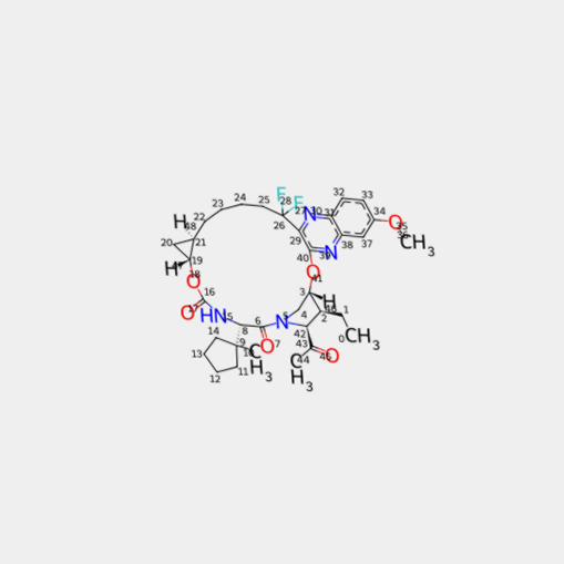 CC[C@@H]1[C@@H]2CN(C(=O)[C@H](C3(C)CCCC3)NC(=O)O[C@@H]3C[C@H]3CCCCC(F)(F)c3nc4ccc(OC)cc4nc3O2)[C@@H]1C(C)=O